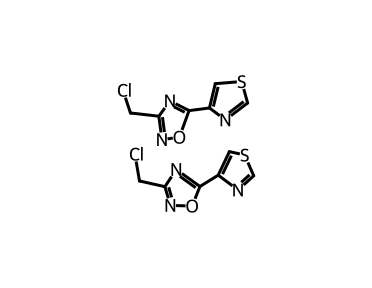 ClCc1noc(-c2cscn2)n1.ClCc1noc(-c2cscn2)n1